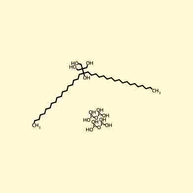 CCCCCCCCCCCCCCCCCCC(O)(CCCCCCCCCCCCCCCCCC)C(CO)(CO)CO.OP(O)OP(O)O.OP(O)OP(O)O